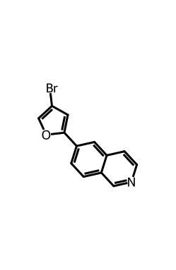 Brc1coc(-c2ccc3cnccc3c2)c1